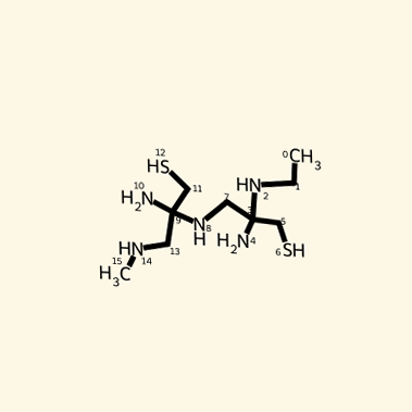 CCNC(N)(CS)CNC(N)(CS)CNC